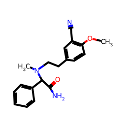 COc1ccc(CCN(C)C(C(N)=O)c2ccccc2)cc1C#N